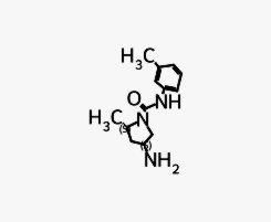 Cc1cccc(NC(=O)N2C[C@@H](N)C[C@@H]2C)c1